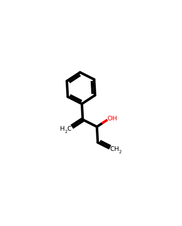 C=CC(O)C(=C)c1ccccc1